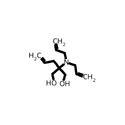 C=CCN(CC=C)C(CO)(CO)CC=C